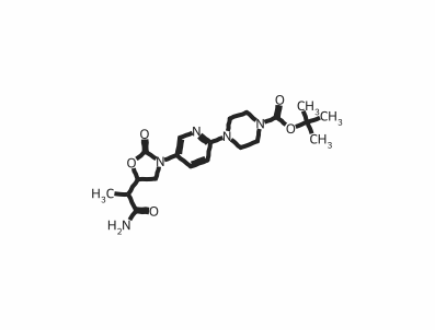 CC(C(N)=O)C1CN(c2ccc(N3CCN(C(=O)OC(C)(C)C)CC3)nc2)C(=O)O1